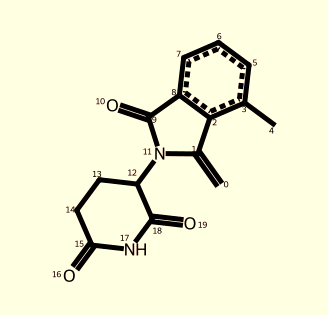 C=C1c2c(C)cccc2C(=O)N1C1CCC(=O)NC1=O